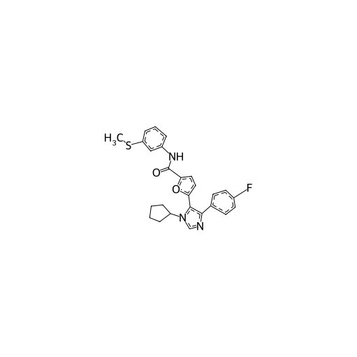 CSc1cccc(NC(=O)c2ccc(-c3c(-c4ccc(F)cc4)ncn3C3CCCC3)o2)c1